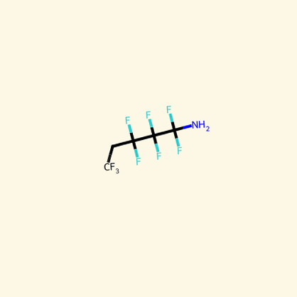 NC(F)(F)C(F)(F)C(F)(F)CC(F)(F)F